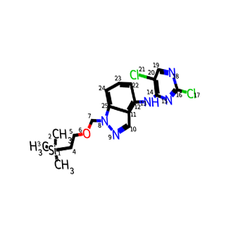 C[Si](C)(C)CCOCn1ncc2c(Nc3nc(Cl)ncc3Cl)cccc21